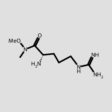 CON(C)C(=O)[C@@H](N)CCCNC(=N)N